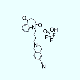 N#Cc1ccc2c(c1)CCN(CCCCN1C(=O)CCC(=O)c3ccccc31)C2.O=C(O)C(F)(F)F